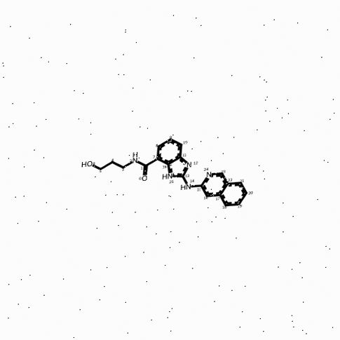 O=C(NCCCO)c1cccc2nc(Nc3cc4ccccc4cn3)[nH]c12